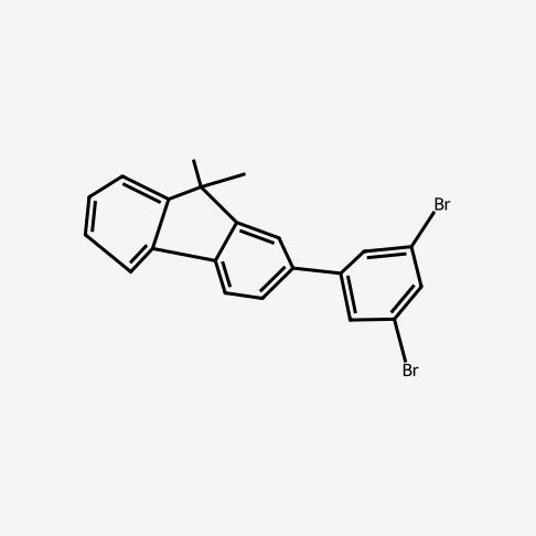 CC1(C)c2ccccc2-c2ccc(-c3cc(Br)cc(Br)c3)cc21